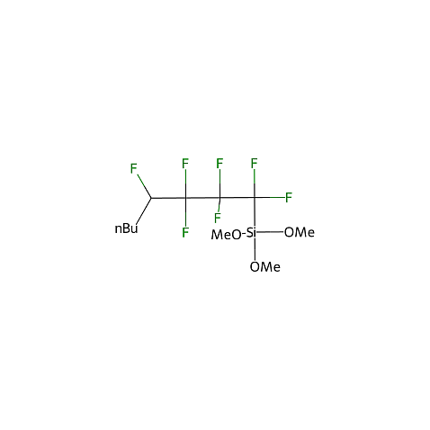 CCCCC(F)C(F)(F)C(F)(F)C(F)(F)[Si](OC)(OC)OC